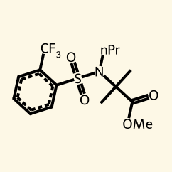 CCCN(C(C)(C)C(=O)OC)S(=O)(=O)c1ccccc1C(F)(F)F